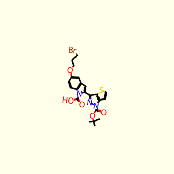 CC(C)(C)OC(=O)n1nc(-c2cc3cc(OCCCBr)ccc3n2C(=O)O)c2sccc21